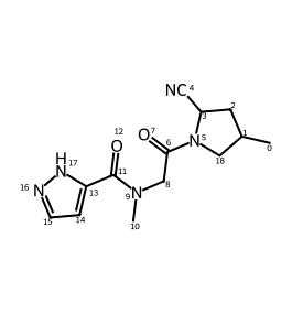 CC1CC(C#N)N(C(=O)CN(C)C(=O)c2ccn[nH]2)C1